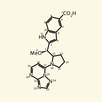 CO[C@@H](c1cc2cc(C(=O)O)ccc2[nH]1)C1CCCN1c1ccnc2ncnn12